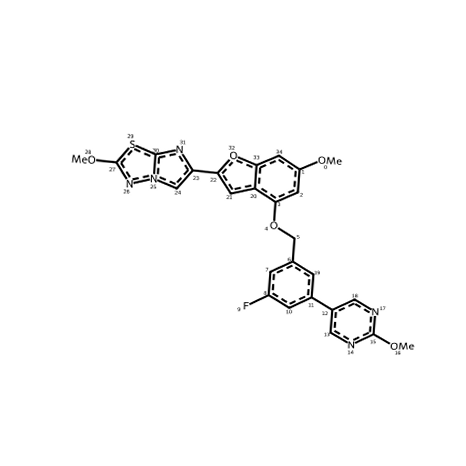 COc1cc(OCc2cc(F)cc(-c3cnc(OC)nc3)c2)c2cc(-c3cn4nc(OC)sc4n3)oc2c1